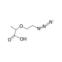 CC(OCCN=[N+]=[N-])C(=O)O